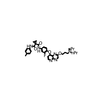 CCCN(CCC)CCCOc1cnc2nccc(Oc3ccc(NC(=O)C4(C(=O)Nc5ccc(C)cc5)CC4)cc3F)c2n1